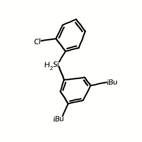 CCC(C)c1cc([SiH2]c2ccccc2Cl)cc(C(C)CC)c1